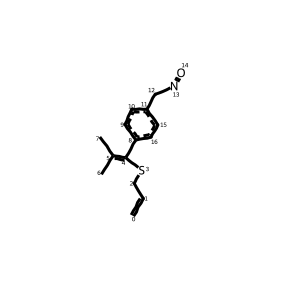 C=CCSC(=C(C)C)c1ccc(CN=O)cc1